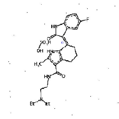 CCN(CC)CCNC(=O)c1c(C)[nH]c2c1CCC/C2=C1/C(=O)Nc2ccc(F)cc21.O=S(=O)(O)O